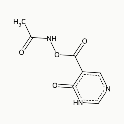 CC(=O)NOC(=O)c1cnc[nH]c1=O